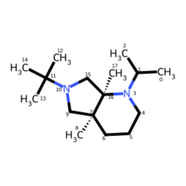 CC(C)N1CCC[C@@]2(C)CN(C(C)(C)C)C[C@@]12C